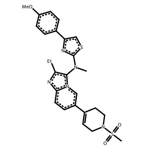 CCc1nc2ccc(C3=CCN(S(C)(=O)=O)CC3)cn2c1N(C)c1nc(-c2ccc(OC)cc2)cs1